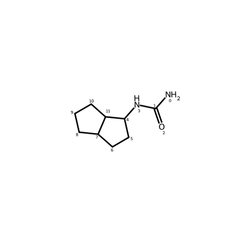 NC(=O)NC1CCC2CCCC21